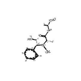 CC(=O)N([C@@H](C)C(=O)N[C@@H](C)C=O)[C@@H](CO)c1ccccc1